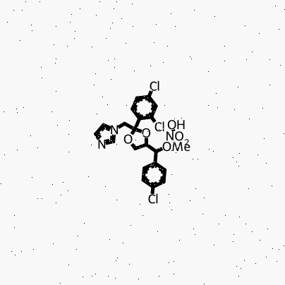 COC(c1ccc(Cl)cc1)C1COC(Cn2ccnc2)(c2ccc(Cl)cc2Cl)O1.O=[N+]([O-])O